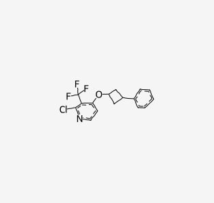 FC(F)(F)c1c(OC2CC(c3ccccc3)C2)ccnc1Cl